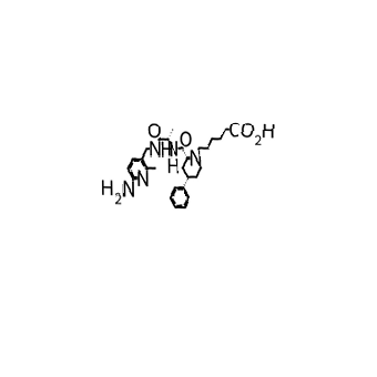 Cc1nc(N)ccc1CNC(=O)[C@H](C)NC(=O)[C@H]1C[C@@H](c2ccccc2)CCN1CCCCCC(=O)O